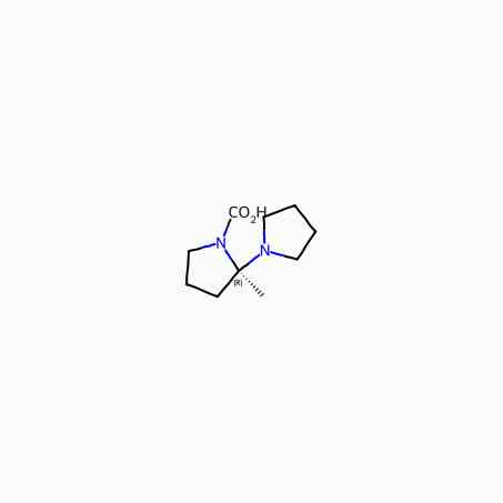 C[C@]1(N2CCCC2)CCCN1C(=O)O